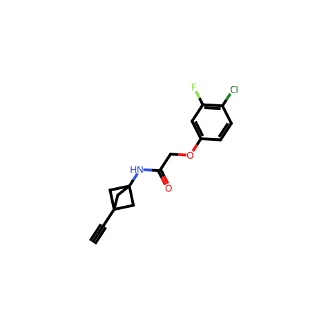 C#CC12CC(NC(=O)COc3ccc(Cl)c(F)c3)(C1)C2